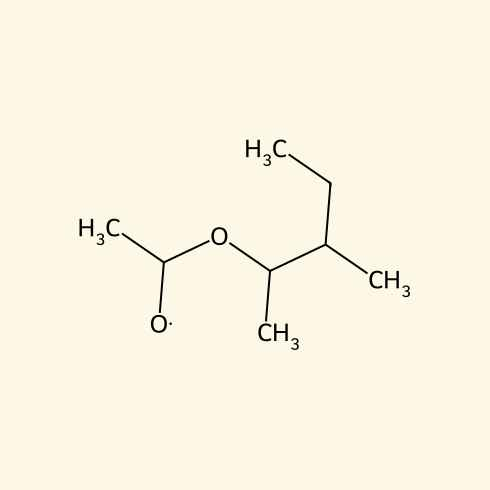 CCC(C)C(C)OC(C)[O]